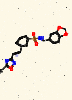 O=S(=O)(NCc1ccc2c(c1)OCO2)c1cccc(/C=C/c2noc(C(F)(F)F)n2)c1